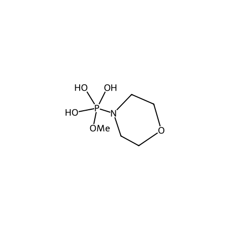 COP(O)(O)(O)N1CCOCC1